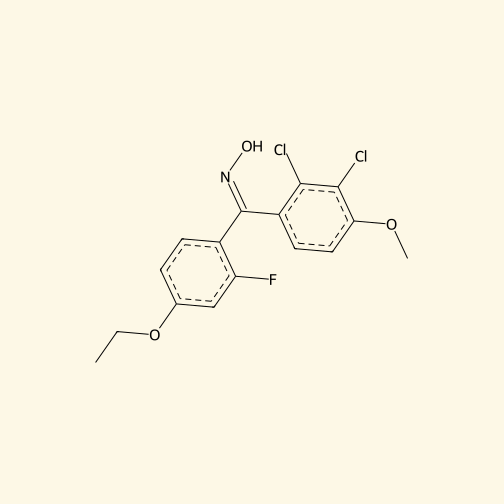 CCOc1ccc(C(=NO)c2ccc(OC)c(Cl)c2Cl)c(F)c1